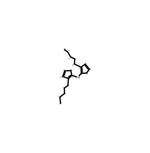 CCCCCC1=[C]([Hf][C]2=C(CCCCC)C=CC2)CC=C1